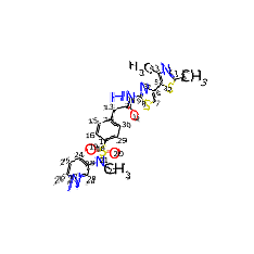 Cc1nc(C)c(-c2csc(NC(=O)Cc3ccc(S(=O)(=O)N(C)c4cccnc4)cc3)n2)s1